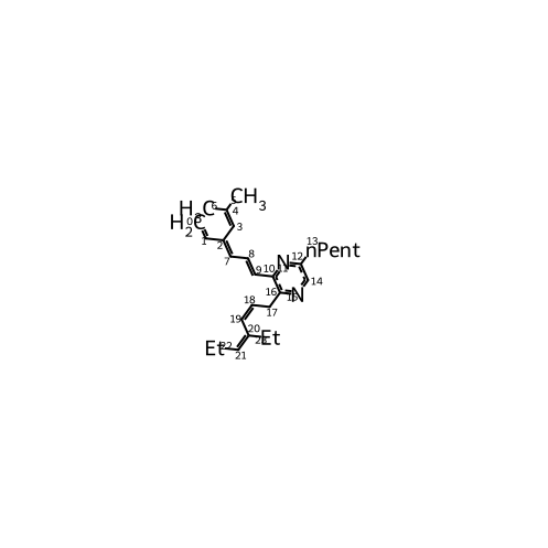 C=C/C(C=C(C)C)=C/C=C/c1nc(CCCCC)cnc1C/C=C\C(=C/CC)CC